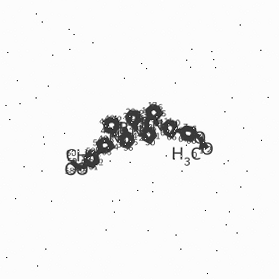 CC1OC1Oc1ccc(-c2ccc(N3c4ccccc4B4c5cccc6c5N(c5cccc3c54)c3cccc4c3B6c3ccccc3N4c3ccc(-c4ccc(OC5OC5C)cc4)cc3)cc2)cc1